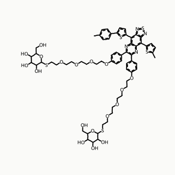 Cc1ccc(-c2ccc(-c3c4nsnc4c(-c4ccc(C)s4)c4nc(-c5ccc(OCCOCCOCCOCCSC6OC(CO)C(O)C(O)C6O)cc5)c(-c5ccc(OCCOCCOCCOCCSC6OC(CO)C(O)C(O)C6O)cc5)nc34)s2)cc1